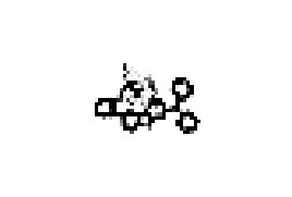 CC1(C)OB(c2cccnc2-c2ccc3oc4cc(N(c5ccccc5)c5ccccc5)ccc4c3c2)OC1(C)C